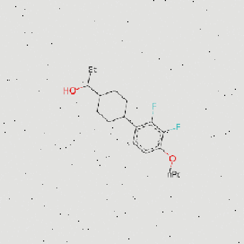 CCCOc1ccc(C2CCC(C(O)CC)CC2)c(F)c1F